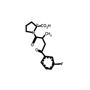 CC(CC(=O)c1cccc(F)c1)C(=O)N1CCC[C@H]1C(=O)O